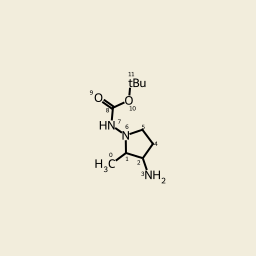 CC1C(N)CCN1NC(=O)OC(C)(C)C